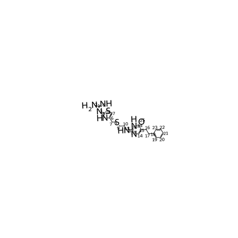 N=C(N)Nc1nc(CSCCNc2ncc(CCc3ccccc3)c(=O)[nH]2)cs1